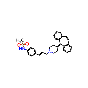 CS(=O)(=O)Nc1ccc(/C=C/CN2CCC(=C3c4ccccc4C=Cc4ccccc43)CC2)cc1